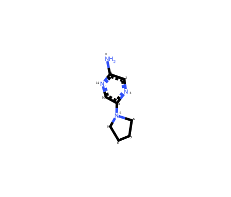 Nc1cnc(N2CCCC2)cn1